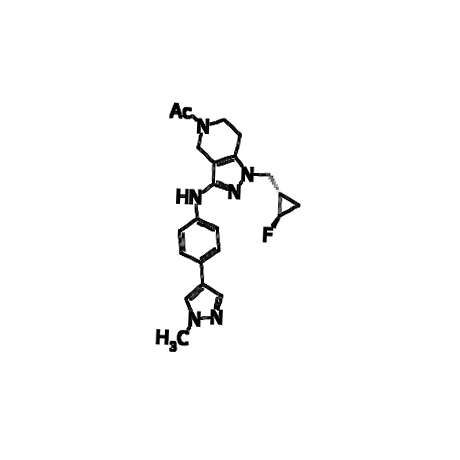 CC(=O)N1CCc2c(c(Nc3ccc(-c4cnn(C)c4)cc3)nn2C[C@@H]2C[C@H]2F)C1